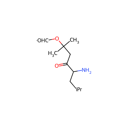 CC(C)CC(N)C(=O)CC(C)(C)O[C]=O